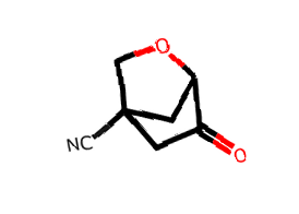 N#CC12COC(C1)C(=O)C2